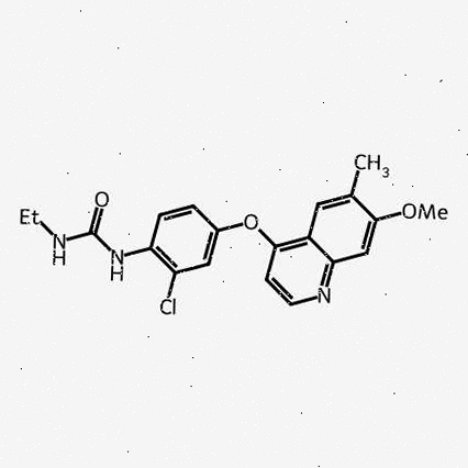 CCNC(=O)Nc1ccc(Oc2ccnc3cc(OC)c(C)cc23)cc1Cl